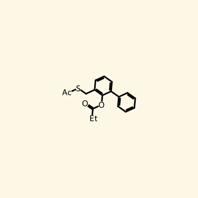 CCC(=O)Oc1c(CSC(C)=O)cccc1-c1ccccc1